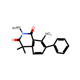 CC(=O)NN1C(=O)c2c(ccc(-c3ccccc3)c2[N+](=O)[O-])C(C)(C)C1=O